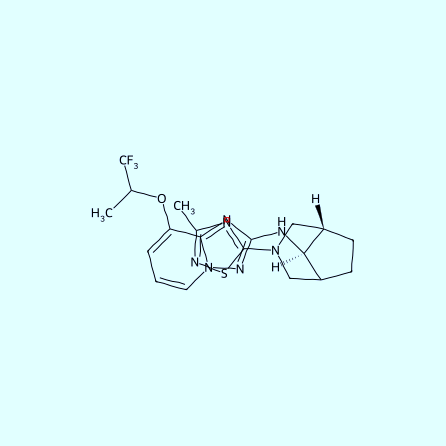 Cc1nsc(N2CC3CC[C@@H](C2)[C@@H]3Nc2nc3c(OC(C)C(F)(F)F)cccn3n2)n1